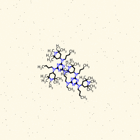 CCCCN(c1nc(NCCCN(CC)c2nc(N(CCCC)C3CC(C)(C)N(C)C(C)(C)C3)nc(N(CCCC)C3CC(C)(C)N(C)C(C)(C)C3)n2)nc(N(CCCC)C2CC(C)(C)N(C)C(C)(C)C2)n1)C1CC(C)(C)N(C)C(C)(C)C1